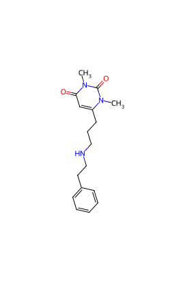 Cn1c(CCCNCCc2ccccc2)cc(=O)n(C)c1=O